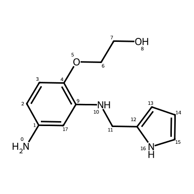 Nc1ccc(OCCO)c(NCc2ccc[nH]2)c1